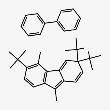 CC1=C2C=CC(C(C)(C)C)(C(C)(C)C)C=C2c2c1ccc(C(C)(C)C)c2C.c1ccc(-c2ccccc2)cc1